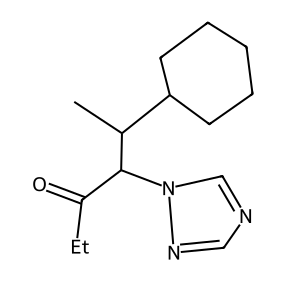 CCC(=O)C(C(C)C1CCCCC1)n1cncn1